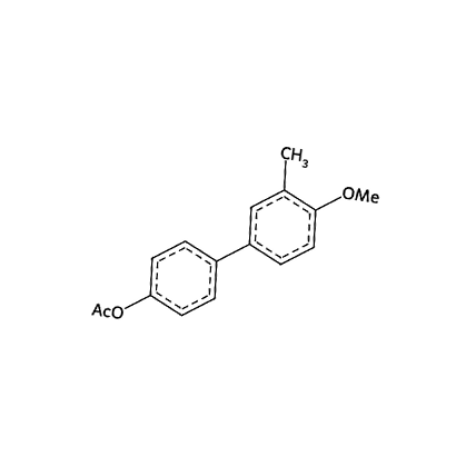 COc1ccc(-c2ccc(OC(C)=O)cc2)cc1C